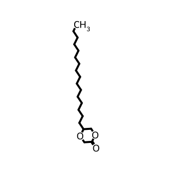 CCCCCCCCCCCCCCCCC1COC(=O)CO1